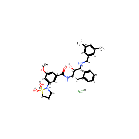 CC(C)Oc1cc(C(=O)N[C@@H](Cc2ccccc2)[C@@H](O)CNCc2cc(C(F)(F)F)cc(C(F)(F)F)c2)cc(N2CCCS2(O)O)c1.Cl